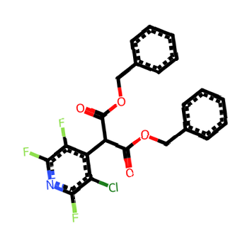 O=C(OCc1ccccc1)C(C(=O)OCc1ccccc1)c1c(F)c(F)nc(F)c1Cl